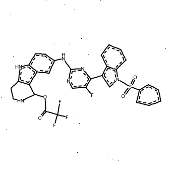 O=C(OC1NCCc2[nH]c3ccc(Nc4ncc(F)c(-c5cn(S(=O)(=O)c6ccccc6)c6ccccc56)n4)cc3c21)C(F)(F)F